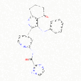 O=C(Nc1cc(-c2[nH]c3c(c2Nc2ccccc2)C(=O)CCC3)ccn1)c1ncc[nH]1